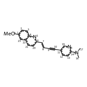 COc1ccc2nc(/C=C/C#Cc3ccc(N(C)C)nc3)ccc2c1